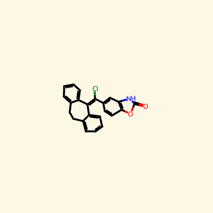 O=c1[nH]c2cc(C(Cl)=C3c4ccccc4CCc4ccccc43)ccc2o1